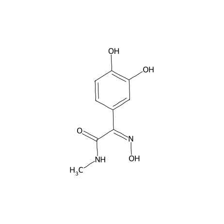 CNC(=O)C(=NO)c1ccc(O)c(O)c1